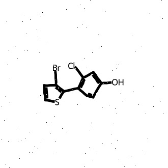 Oc1ccc(-c2sccc2Br)c(Cl)c1